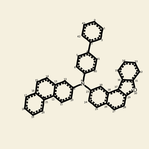 c1ccc(-c2ccc(N(c3ccc4c(ccc5ccccc54)c3)c3ccc4ccc5oc6ccccc6c5c4c3)cc2)cc1